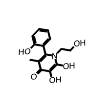 Cc1c(-c2ccccc2O)n(CCO)c(O)c(O)c1=O